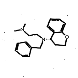 CN(C)CCN(Cc1ccccc1)[C@H]1CCOc2ccccc21